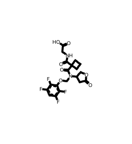 O=C(O)CNC(=O)C1(C(=O)N(COc2c(F)c(F)cc(F)c2F)C2COC(=O)C2)CCC1